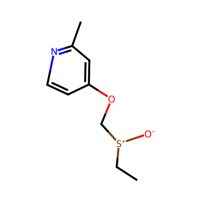 CC[S+]([O-])COc1ccnc(C)c1